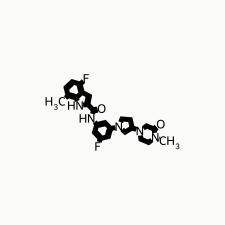 Cc1ccc(F)c2cc(C(=O)Nc3cc(F)cc(N4CCC(N5CCN(C)C(=O)C5)C4)c3)[nH]c12